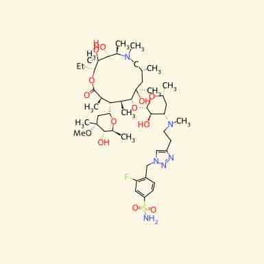 CC[C@H]1OC(=O)[C@H](C)[C@@H](C2C[C@@](C)(OC)[C@@H](O)[C@H](C)O2)[C@H](C)[C@@H](O[C@@H]2O[C@H](C)C[C@H](N(C)CCc3cn(Cc4ccc(S(N)(=O)=O)cc4F)nn3)[C@H]2O)[C@](C)(O)C[C@@H](C)CN(C)[C@H](C)[C@@H](O)[C@]1(C)O